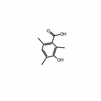 Cc1cc(C)c(C(=O)O)c(C)c1O